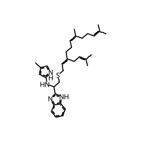 CC(C)=CCCC(C)=CCCC(=CCSCC(Nc1cc(C)c[nH]1)c1nc2ccccc2[nH]1)CC=C(C)C